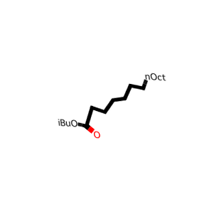 CCCCCCCCCCCCCCC(=O)OCC(C)C